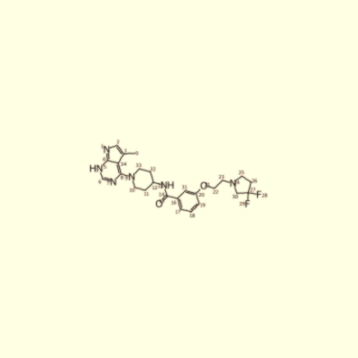 Cc1cnc2[nH]cnc(N3CCC(NC(=O)c4cccc(OCCN5CCC(F)(F)C5)c4)CC3)c1-2